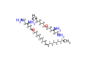 CCCCCCCC/C=C\CCCCCCCCOCCCC(N)CCN.CCCCCCCOCCCC(N)CCN